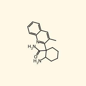 Cc1cc2ccccc2nc1C1(C(N)=O)CCCCC1N